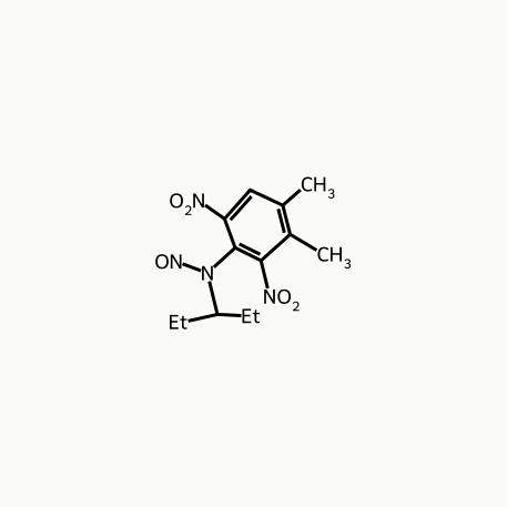 CCC(CC)N(N=O)c1c([N+](=O)[O-])cc(C)c(C)c1[N+](=O)[O-]